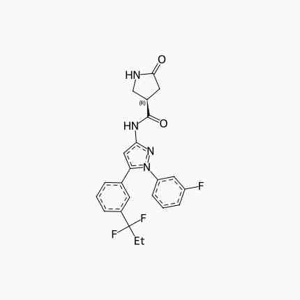 CCC(F)(F)c1cccc(-c2cc(NC(=O)[C@H]3CNC(=O)C3)nn2-c2cccc(F)c2)c1